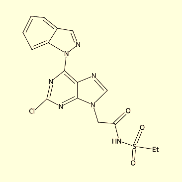 CCS(=O)(=O)NC(=O)Cn1cnc2c(-n3ncc4ccccc43)nc(Cl)nc21